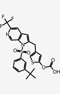 CC(C)(C)c1cccc(S(=O)(=O)n2c(Cc3csc(OC(=O)O)c3)cc3cc(C(F)(F)F)ncc32)c1